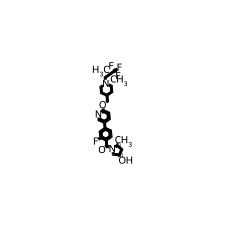 C[C@H]1C[C@@H](O)CN1C(=O)c1ccc(-c2ccc(OCC3CCN(CC(C)(C)C(F)(F)F)CC3)nc2)cc1F